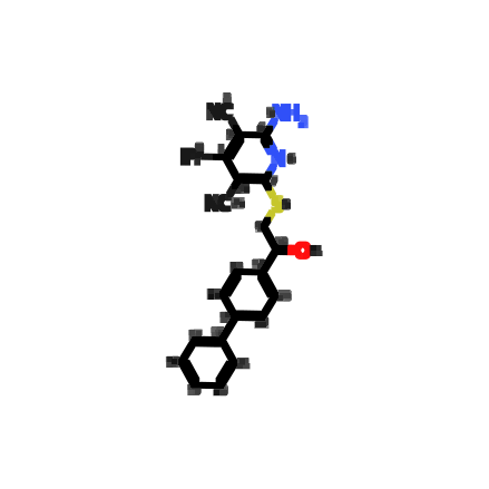 CC(C)c1c(C#N)c(N)nc(SCC(=O)c2ccc(-c3ccccc3)cc2)c1C#N